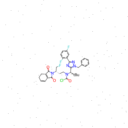 CC(C)(C)[C@H](c1nc(-c2cc(F)ccc2F)nn1Cc1ccccc1)N(CC[C@@H](CF)N1C(=O)C2=C(CCC=C2)C1=O)C(=O)Cl